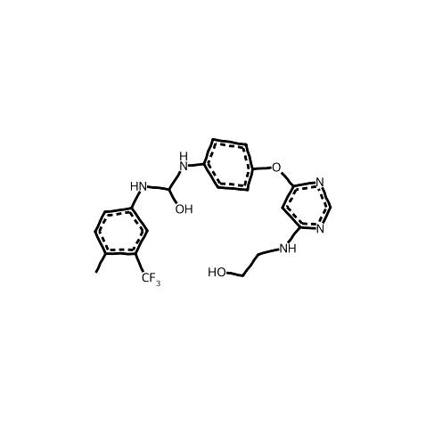 Cc1ccc(NC(O)Nc2ccc(Oc3cc(NCCO)ncn3)cc2)cc1C(F)(F)F